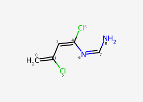 C=C(Cl)/C=C(Cl)\N=C/N